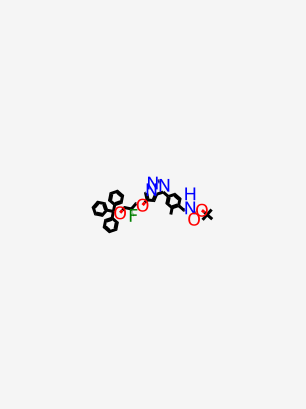 Cc1cc(-c2ncnn3cc(OC[C@H](F)COC(c4ccccc4)(c4ccccc4)c4ccccc4)cc23)ccc1CNC(=O)OC(C)(C)C